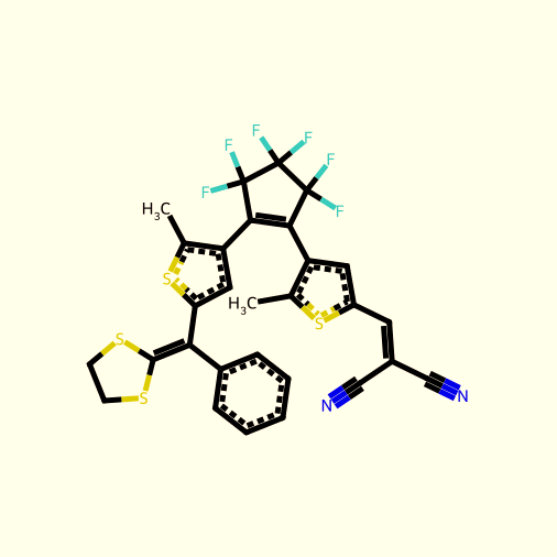 Cc1sc(C=C(C#N)C#N)cc1C1=C(c2cc(C(=C3SCCS3)c3ccccc3)sc2C)C(F)(F)C(F)(F)C1(F)F